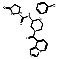 O=C1CC[C@@H](C(=O)N[C@@H]2CN(C(=O)c3cccn4cncc34)CC[C@H]2c2cccc(Cl)c2)N1